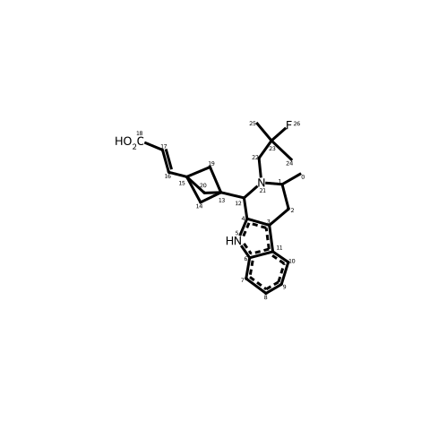 CC1Cc2c([nH]c3ccccc23)C(C23CC(/C=C/C(=O)O)(C2)C3)N1CC(C)(C)F